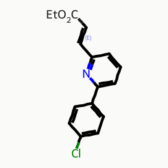 CCOC(=O)/C=C/c1cccc(-c2ccc(Cl)cc2)n1